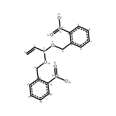 C=CP(OCc1ccccc1[N+](=O)[O-])OCc1ccccc1[N+](=O)[O-]